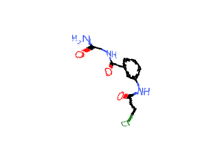 NC(=O)NC(=O)c1cccc(NC(=O)CCl)c1